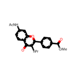 CCCc1c(-c2ccc(C(=O)OC)cc2)oc2cc(NC(C)=O)ccc2c1=O